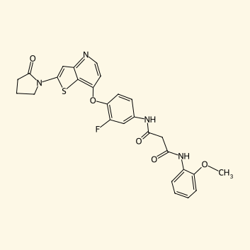 COc1ccccc1NC(=O)CC(=O)Nc1ccc(Oc2ccnc3cc(N4CCCC4=O)sc23)c(F)c1